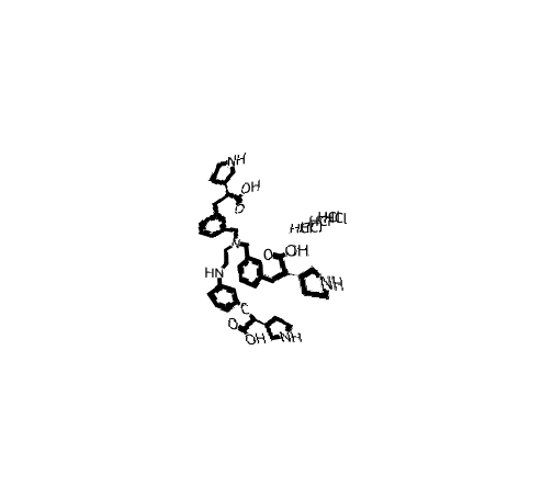 Cl.Cl.Cl.Cl.Cl.O=C(O)C(Cc1cccc(CN(CCNc2cccc(CC(C(=O)O)[C@H]3CCNC3)c2)Cc2cccc(CC(C(=O)O)[C@H]3CCNC3)c2)c1)[C@H]1CCNC1